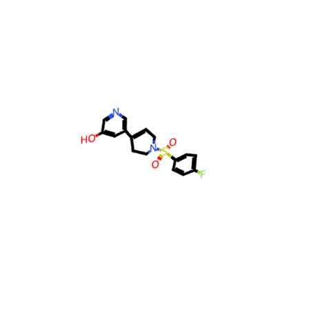 O=S(=O)(c1ccc(F)cc1)N1CC=C(c2cncc(O)c2)CC1